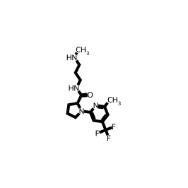 CNCCCNC(=O)C1CCCN1c1cc(C(F)(F)F)cc(C)n1